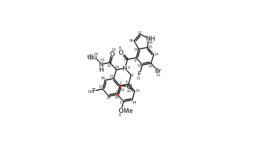 COc1ccc(CN(C(=O)c2c(F)c(Br)cc3[nH]ccc23)C(C(=O)NC(C)(C)C)c2cc(F)ccc2Cl)cc1